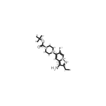 CCc1nn2cc(F)c(N3CCN(C(=O)OC(C)(C)C)CC3)cc2c1N